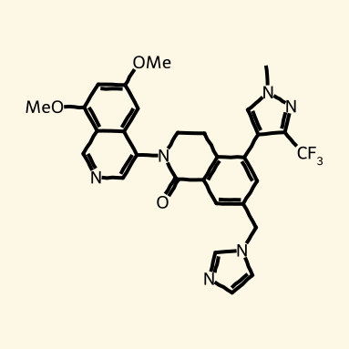 COc1cc(OC)c2cncc(N3CCc4c(cc(Cn5ccnc5)cc4-c4cn(C)nc4C(F)(F)F)C3=O)c2c1